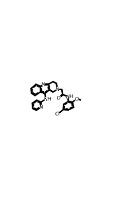 COc1ccc(Cl)cc1NC(=O)CN1CCc2nc3ccccc3c(Nc3ccccn3)c2C1